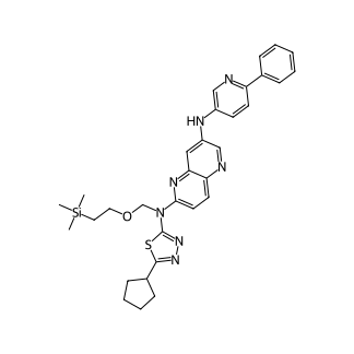 C[Si](C)(C)CCOCN(c1ccc2ncc(Nc3ccc(-c4ccccc4)nc3)cc2n1)c1nnc(C2CCCC2)s1